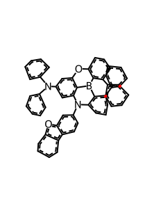 c1ccc(-c2cccc3c2B2c4c(cc(N(c5ccccc5)c5ccccc5)cc4N(c4ccc5c(c4)oc4ccccc45)c4cccc(-c5ccccc5)c42)O3)cc1